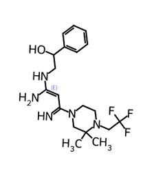 CC1(C)CN(C(=N)/C=C(\N)NCC(O)c2ccccc2)CCN1CC(F)(F)F